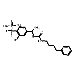 NC(NC(=O)NCCCCc1ccccc1)c1ccc(C(F)(F)P(=O)(O)O)c(Br)c1